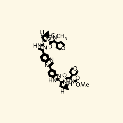 COC(=O)N[C@H](C(=O)N1[C@@H]2C[C@H]2C[C@H]1c1nc2cc(-c3cnc4cc(-c5c[nH]c([C@@H]6C[C@H]7C[C@H]7N6C(=O)[C@H](C6CCOCC6)N(C)C(=O)O)n5)ccc4n3)ccc2[nH]1)C1CCOCC1